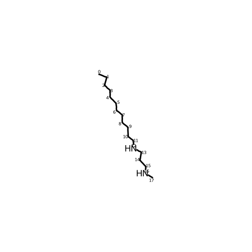 CCCCCCCCCCCCNCCCNC